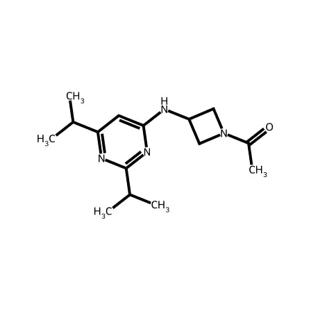 CC(=O)N1CC(Nc2cc(C(C)C)nc(C(C)C)n2)C1